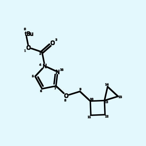 CC(C)(C)OC(=O)n1ccc(OCC2CCC23CC3)n1